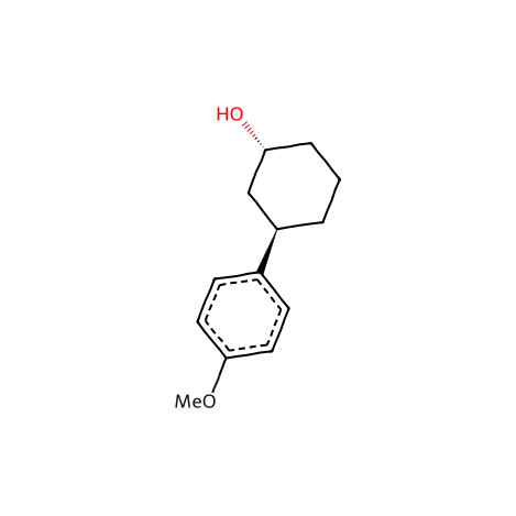 COc1ccc([C@@H]2CCC[C@@H](O)C2)cc1